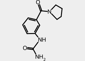 NC(=O)Nc1cccc(C(=O)N2CCCC2)c1